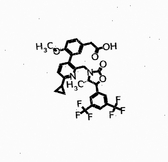 COc1ccc(CC(=O)O)cc1-c1ccc(C2CC2)nc1CN1C(=O)OC(c2cc(C(F)(F)F)cc(C(F)(F)F)c2)[C@@H]1C